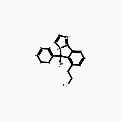 CCCc1cccc2c1C(O)(C1=CC=CCC1)n1ccnc1-2